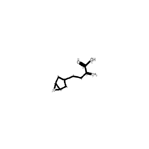 C=C(CCC1CC2OC2C1)C(=O)O